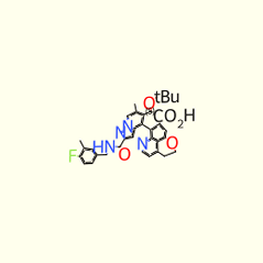 Cc1cc(CNC(=O)c2cc3c(-c4ccc5c6c(ccnc46)CCO5)c([C@H](OC(C)(C)C)C(=O)O)c(C)cn3n2)ccc1F